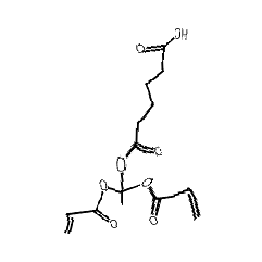 C=CC(=O)OC(C)(OC(=O)C=C)OC(=O)CCCCC(=O)O